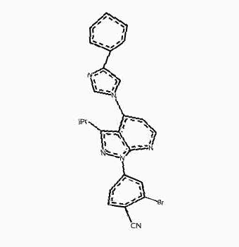 CC(C)c1nn(-c2ccc(C#N)c(Br)c2)c2nccc(-n3cnc(-c4ccccc4)c3)c12